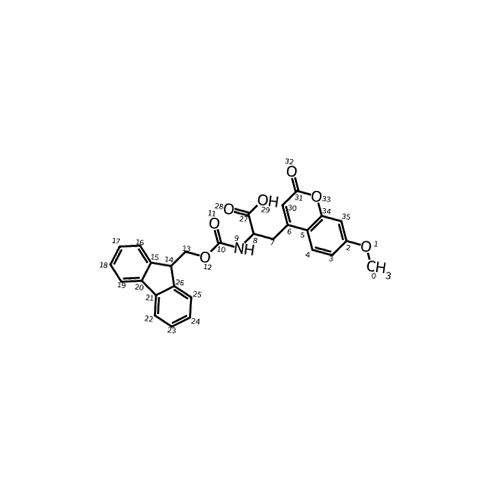 COc1ccc2c(CC(NC(=O)OCC3c4ccccc4-c4ccccc43)C(=O)O)cc(=O)oc2c1